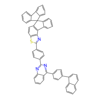 c1ccc2c(c1)-c1ccccc1C21c2ccccc2-c2c1ccc1sc(-c3ccc(-c4nc(-c5ccc(-c6cccc7ccccc67)cc5)c5ccccc5n4)cc3)nc21